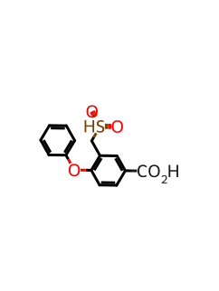 O=C(O)c1ccc(Oc2ccccc2)c(C[SH](=O)=O)c1